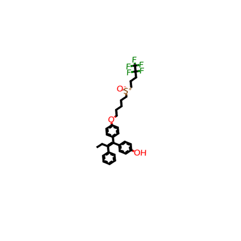 CCC(=C(c1ccc(O)cc1)c1ccc(OCCCCC[S+]([O-])CCCC(F)(F)C(F)(F)F)cc1)c1ccccc1